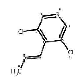 CC=Cc1c(Cl)cncc1Cl